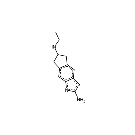 CCNC1Cc2cc3nc(N)sc3cc2C1